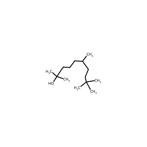 CC(CCCC(C)(C)O)CCC(C)(C)C